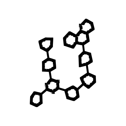 c1ccc(-c2ccc(-c3nc(-c4ccccc4)nc(-c4cccc(-c5cccc(-c6ccc(-c7cc8cccnc8c8ccccc78)cc6)c5)c4)n3)cc2)cc1